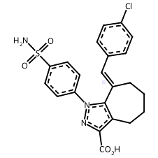 NS(=O)(=O)c1ccc(-n2nc(C(=O)O)c3c2/C(=C/c2ccc(Cl)cc2)CCCC3)cc1